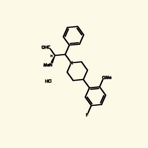 CN[C@@H](C=O)C(c1ccccc1)N1CCC(c2cc(F)ccc2OC)CC1.Cl